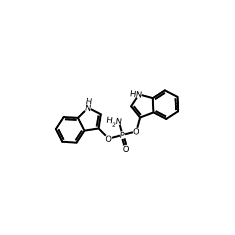 NP(=O)(Oc1c[nH]c2ccccc12)Oc1c[nH]c2ccccc12